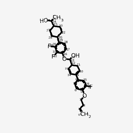 C=CCCOc1ccc(C2=CCC(C(O)Oc3ccc(C4CCC(C(C)O)CC4)c(F)c3F)C=C2)cc1F